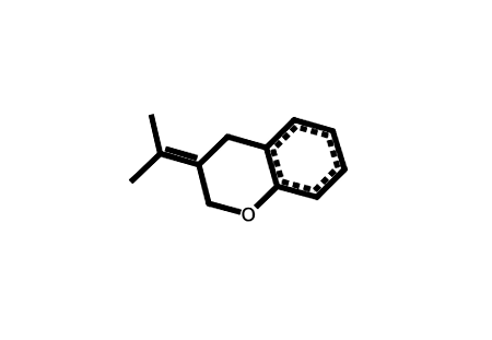 CC(C)=C1COc2ccccc2C1